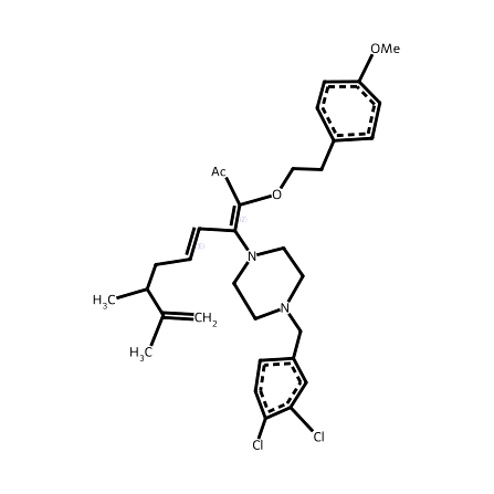 C=C(C)C(C)C/C=C/C(=C(/OCCc1ccc(OC)cc1)C(C)=O)N1CCN(Cc2ccc(Cl)c(Cl)c2)CC1